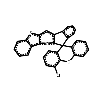 Clc1cccc2c1Oc1ccccc1C21c2ccccc2-c2cc3sc4ccccc4c3cc21